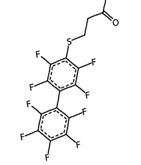 O=C(O)CCSc1c(F)c(F)c(-c2c(F)c(F)c(F)c(F)c2F)c(F)c1F